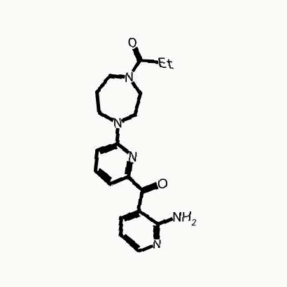 CCC(=O)N1CCCN(c2cccc(C(=O)c3cccnc3N)n2)CC1